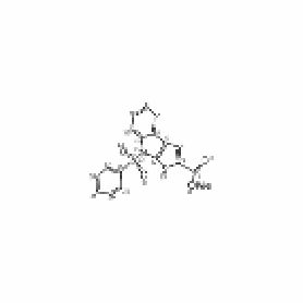 COC(=O)c1cc2c3ccccc3n(S(=O)(=O)c3ccccc3)c2s1